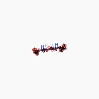 CC(=O)OC[C@H]1O[C@@H](OCCCNC(=O)CCNC(=O)OCC(O)COC(=O)NCCC(=O)NCCCO[C@H]2C[C@@H](OC(C)=O)[C@@H](OC(C)=O)[C@@H](COC(C)=O)O2)C[C@@H](OC(C)=O)[C@H]1OC(C)=O